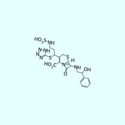 O=C(O)C1=C(C(CCNS(=O)(=O)O)Sc2nnn[nH]2)CS[C@H]2C(NCC(O)c3ccccc3)C(=O)N12